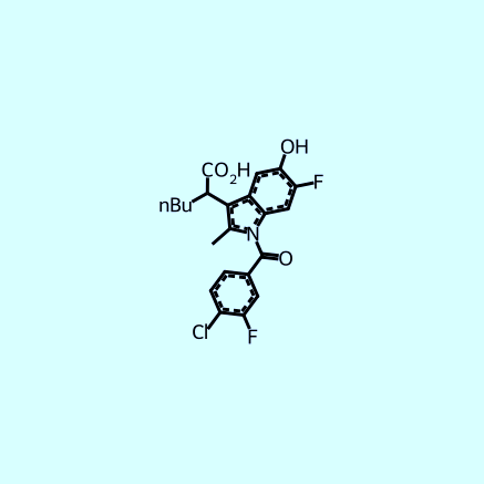 CCCCC(C(=O)O)c1c(C)n(C(=O)c2ccc(Cl)c(F)c2)c2cc(F)c(O)cc12